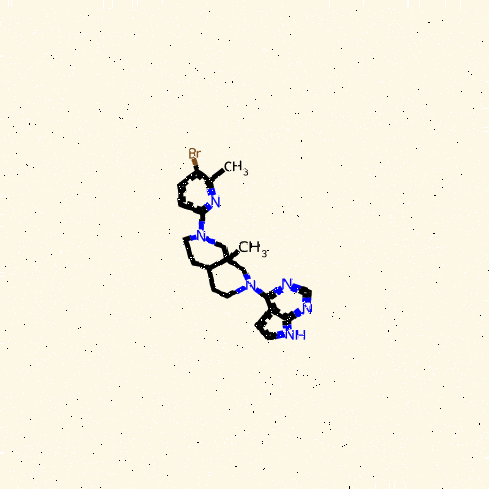 Cc1nc(N2CCC3CCN(c4ncnc5[nH]ccc45)CC3(C)C2)ccc1Br